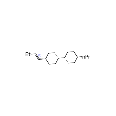 CC/C=C/[C@H]1CC[C@H]([C@H]2CC[C@H](CCC)CC2)CC1